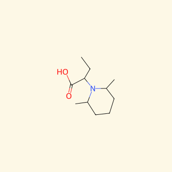 CCC(C(=O)O)N1C(C)CCCC1C